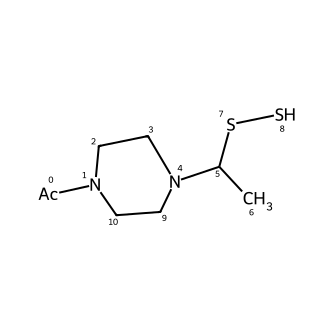 CC(=O)N1CCN(C(C)SS)CC1